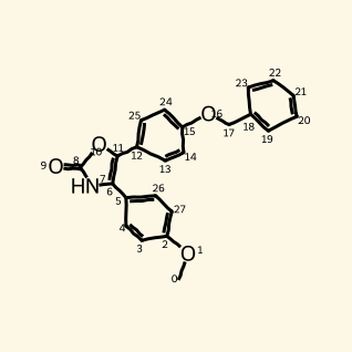 COc1ccc(-c2[nH]c(=O)oc2-c2ccc(OCc3ccccc3)cc2)cc1